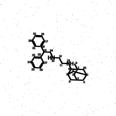 CC12CC3CC(CC(C3)C1NCCNCC(c1ccccc1)c1ccccc1)C2